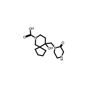 O=C(O)N1CCC(O)(CN2CCNCC2=O)C2(CCCC2)C1